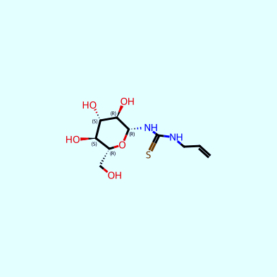 C=CCNC(=S)N[C@@H]1O[C@H](CO)[C@@H](O)[C@H](O)[C@H]1O